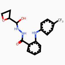 O=C(NNC(O)C1CCO1)c1ccccc1Nc1ccc(C(F)(F)F)cc1